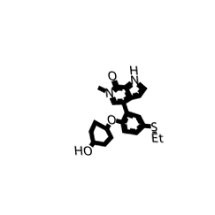 CCSc1ccc(OC2CCC(O)CC2)c(-c2cn(C)c(=O)c3[nH]ccc23)c1